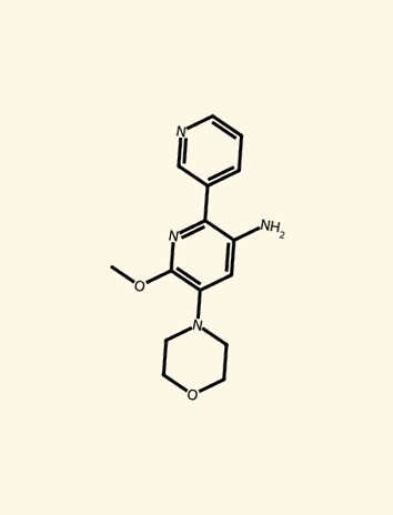 COc1nc(-c2cccnc2)c(N)cc1N1CCOCC1